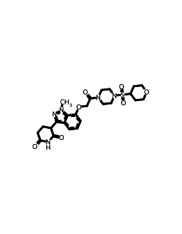 Cn1nc(C2CCC(=O)NC2=O)c2cccc(OCC(=O)N3CCN(S(=O)(=O)C4CCOCC4)CC3)c21